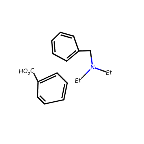 CCN(CC)Cc1ccccc1.O=C(O)c1ccccc1